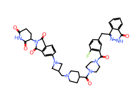 O=C1CCC(N2C(=O)c3ccc(N4CC(CN5CCC(C(=O)N6CCN(C(=O)c7cc(Cc8n[nH]c(=O)c9ccccc89)ccc7F)CC6)CC5)C4)cc3C2=O)C(=O)N1